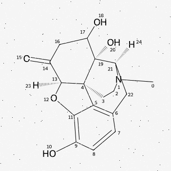 CN1CC[C@]23c4c5ccc(O)c4O[C@H]2C(=O)CC(O)[C@@]3(O)[C@H]1C5